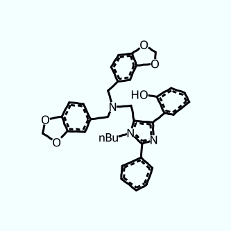 CCCCn1c(-c2ccccc2)nc(-c2ccccc2O)c1CN(Cc1ccc2c(c1)OCO2)Cc1ccc2c(c1)OCO2